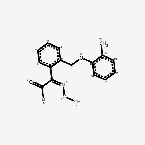 CON=C(C(=O)O)c1ccccc1COc1ccccc1C